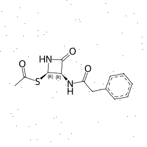 CC(=O)S[C@H]1NC(=O)[C@H]1NC(=O)Cc1ccccc1